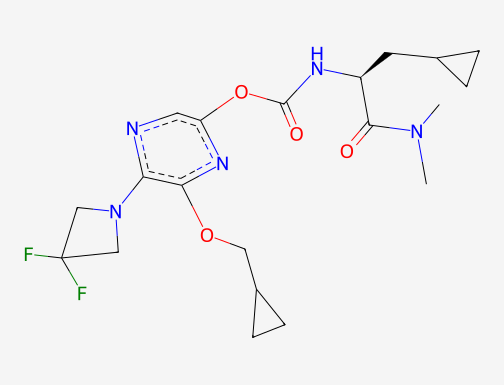 CN(C)C(=O)[C@H](CC1CC1)NC(=O)Oc1cnc(N2CC(F)(F)C2)c(OCC2CC2)n1